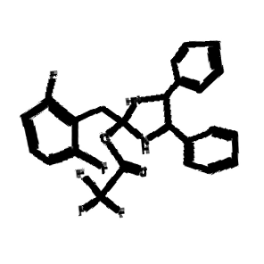 O=C(OC1(Cc2c(F)cccc2F)NC(c2ccccc2)C(c2ccccc2)N1)C(F)(F)F